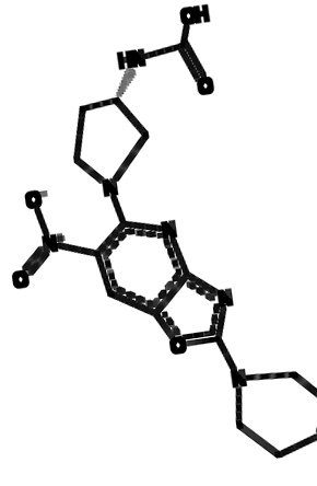 O=C(O)N[C@H]1CCN(c2nc3nc(N4CCOCC4)oc3cc2[N+](=O)[O-])C1